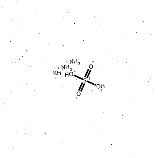 N.N.O=S(=O)(O)O.[KH]